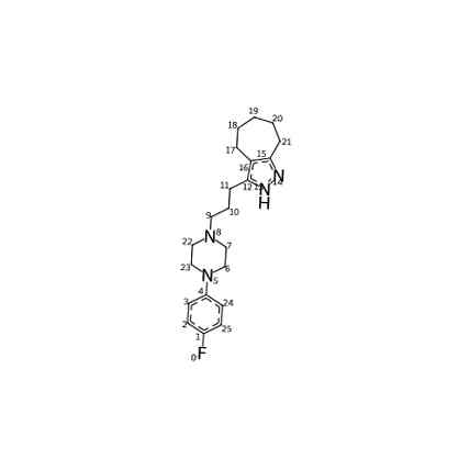 Fc1ccc(N2CCN(CCCc3[nH]nc4c3CCCCC4)CC2)cc1